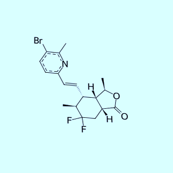 Cc1nc(/C=C/[C@@H]2[C@@H]3[C@@H](C)OC(=O)[C@@H]3CC(F)(F)[C@H]2C)ccc1Br